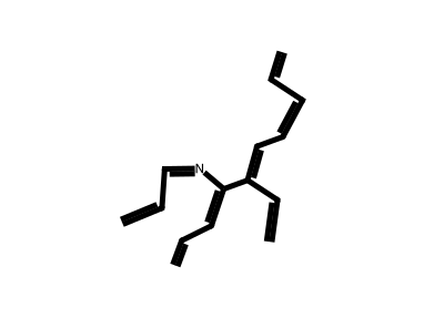 C=C\C=C/C=C(C=C)/C(=C/C=C)/N=C\C=C